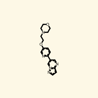 c1cc2ncc(-c3ccc(OCCN4CCOCC4)cn3)cn2n1